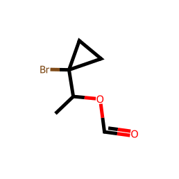 CC(OC=O)C1(Br)CC1